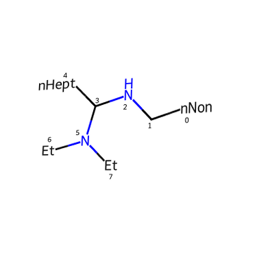 CCCCCCCCCCNC(CCCCCCC)N(CC)CC